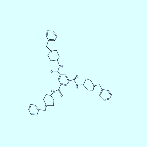 O=C(NC1CCN(Cc2ccccc2)CC1)c1cc(C(=O)NC2CCN(Cc3ccccc3)CC2)cc(C(=O)NC2CCN(Cc3ccccc3)CC2)c1